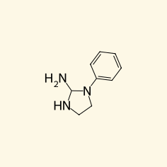 NC1NCCN1c1ccccc1